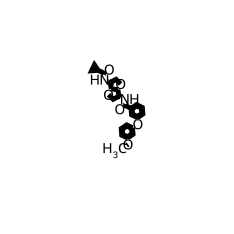 COc1cccc(Oc2cccc(C(=O)NC3COC4C3OC[C@@H]4NC(=O)C3CC3)c2)c1